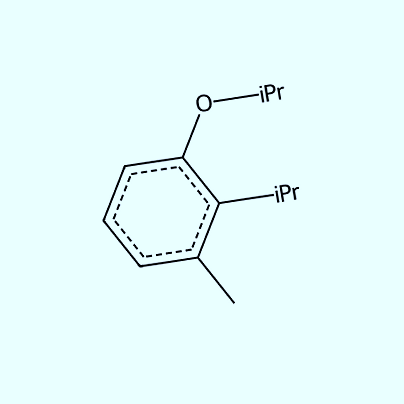 Cc1cccc(OC(C)C)c1C(C)C